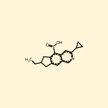 CCC1Cc2cc3cnc(C4CC4)cc3c(S(=O)O)c2C1